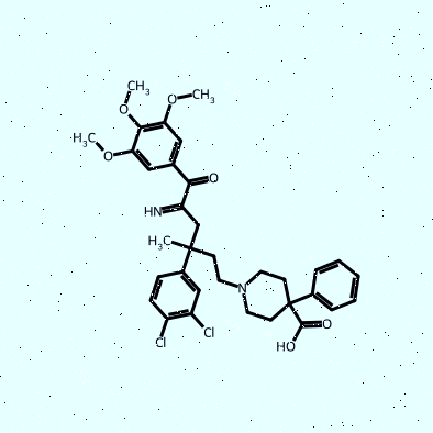 COc1cc(C(=O)C(=N)CC(C)(CCN2CCC(C(=O)O)(c3ccccc3)CC2)c2ccc(Cl)c(Cl)c2)cc(OC)c1OC